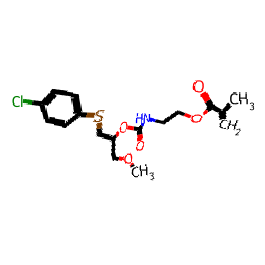 C=C(C)C(=O)OCCNC(=O)OC(COC)CSc1ccc(Cl)cc1